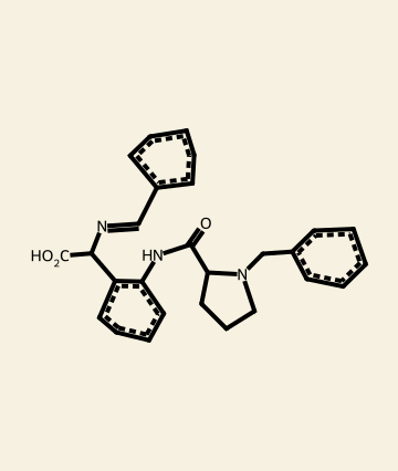 O=C(O)C(N=Cc1ccccc1)c1ccccc1NC(=O)C1CCCN1Cc1ccccc1